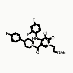 COCCn1cc(C(=O)N2CCC(c3ccc(F)cc3)CC2)c(Nc2ccc(F)cc2F)c(Cl)c1=O